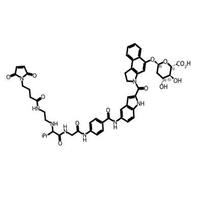 CC(C)C(NCCNC(=O)CCCN1C(=O)C=CC1=O)C(=O)NCC(=O)Nc1ccc(C(=O)Nc2ccc3[nH]c(C(=O)N4CCc5c4cc(O[C@@H]4C[C@@H](O)[C@H](O)[C@@H](C(=O)O)O4)c4ccccc54)cc3c2)cc1